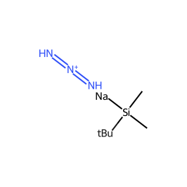 CC(C)(C)[Si](C)(C)[Na].N=[N+]=N